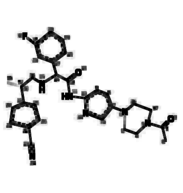 CC(=O)N1CCN(c2ccc(NC(=O)C(NC[C@@H](C)c3ccc(C#N)cc3)c3cccc(F)c3)nc2)CC1